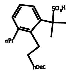 CCCCCCCCCCCCc1c(CCC)cccc1C(C)(C)S(=O)(=O)O